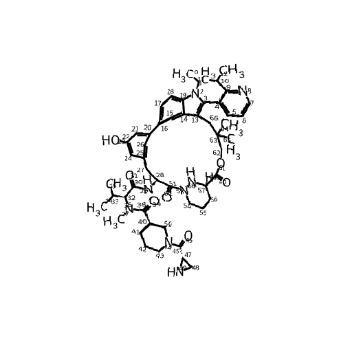 CCn1c(-c2cccnc2C(C)C)c2c3cc(ccc31)-c1cc(O)cc(c1)C[C@H](NC(=O)[C@H](C(C)C)N(C)C(=O)[C@@H]1CCCN(C(=O)[C@@H]3CN3)C1)C(=O)N1CCC[C@H](N1)C(=O)OCC(C)(C)C2